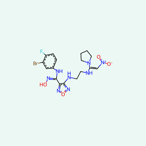 O=[N+]([O-])C=C(NCCNc1nonc1C(=NO)Nc1ccc(F)c(Br)c1)N1CCCC1